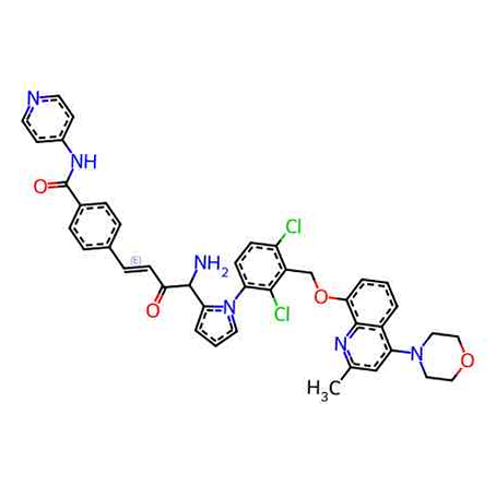 Cc1cc(N2CCOCC2)c2cccc(OCc3c(Cl)ccc(-n4cccc4C(N)C(=O)/C=C/c4ccc(C(=O)Nc5ccncc5)cc4)c3Cl)c2n1